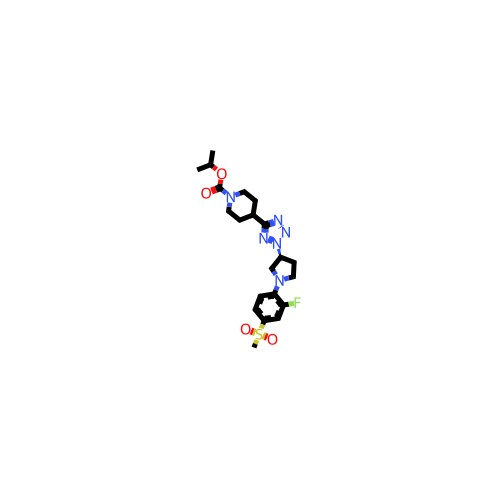 CC(C)OC(=O)N1CCC(c2nnn([C@H]3CCN(c4ccc(S(C)(=O)=O)cc4F)C3)n2)CC1